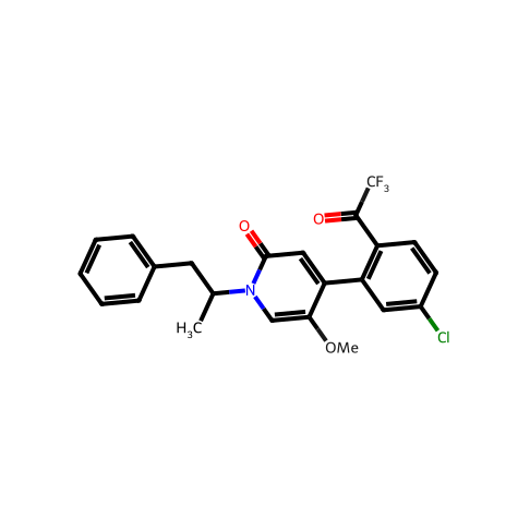 COc1cn(C(C)Cc2ccccc2)c(=O)cc1-c1cc(Cl)ccc1C(=O)C(F)(F)F